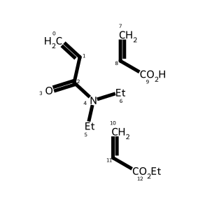 C=CC(=O)N(CC)CC.C=CC(=O)O.C=CC(=O)OCC